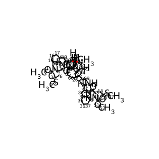 COC(=O)N[C@@H](CCSC)C(=O)N1C2CCCCC2C[C@H]1c1nc(C2=CC3=C(c4c[nH]c([C@@H]5CC6CCCCC6N5C(=O)[C@H](CCSC)NC(=O)OC)n4)C[C@@H]2C[C@@H](C)[C@@H]2C=CC(=CC2)CC3)c[nH]1